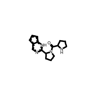 O=C(C1CCCN1)N1CCCC1c1ncc2cccc-2[nH]1